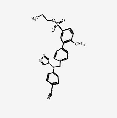 CCCOS(=O)(=O)c1ccc(C)c(-c2ccc(CN(c3ccc(C#N)cc3)n3cnnc3)cc2)c1